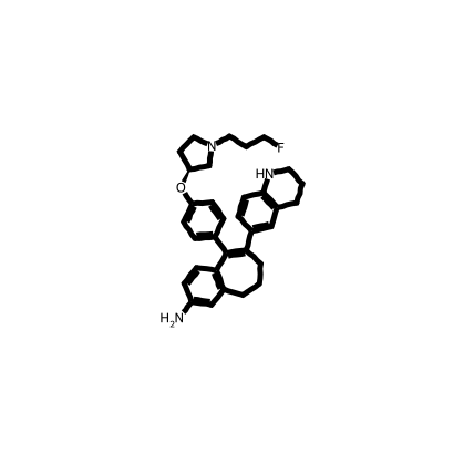 Nc1ccc2c(c1)CCCC(c1ccc3c(c1)CCCN3)=C2c1ccc(O[C@H]2CCN(CCCF)C2)cc1